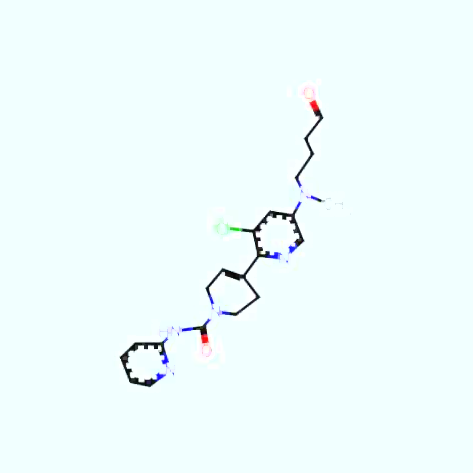 CN(CCCC=O)c1cnc(C2=CCN(C(=O)Nc3ccccn3)CC2)c(Cl)c1